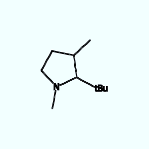 CC1CCN(C)C1C(C)(C)C